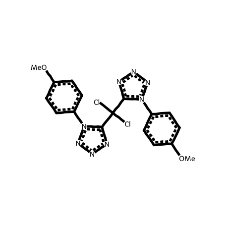 COc1ccc(-n2nnnc2C(Cl)(Cl)c2nnnn2-c2ccc(OC)cc2)cc1